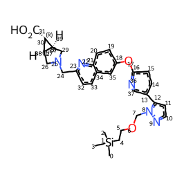 C[Si](C)(C)CCOCn1nccc1-c1ccc(Oc2ccc3nc(CN4C[C@@H]5[C@H](C4)[C@H]5C(=O)O)ccc3c2)nc1